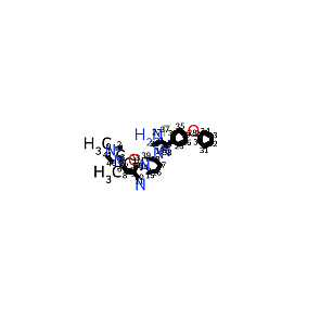 CN1CCN(C(C)(C)C=C(C#N)C(=O)N2CCC[C@@H](n3cc(N)c(-c4ccc(Oc5ccccc5)cc4F)n3)C2)CC1